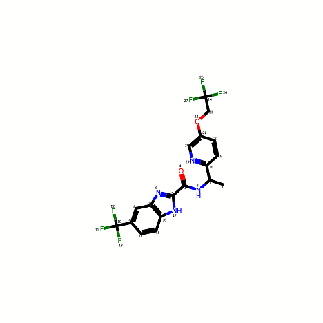 CC(NC(=O)c1nc2cc(C(F)(F)F)ccc2[nH]1)c1ccc(OCC(F)(F)F)cn1